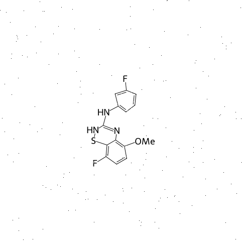 COc1ccc(F)c2c1N=C(Nc1cccc(F)c1)NS2